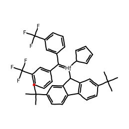 CC(C)(C)c1ccc2c(c1)[CH]([Hf](=[C](c1cccc(C(F)(F)F)c1)c1cccc(C(F)(F)F)c1)[CH]1C=CC=C1)c1cc(C(C)(C)C)ccc1-2